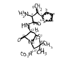 C=C(c1cccs1)C(N)C(=O)N[C@@H]1C(=O)N2[C@@H]1SC(C)(C)[C@@H]2C(=O)O